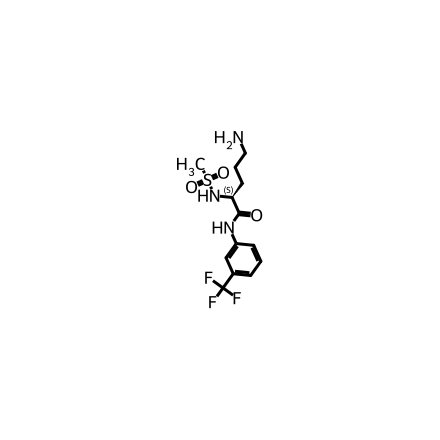 CS(=O)(=O)N[C@@H](CCCN)C(=O)Nc1cccc(C(F)(F)F)c1